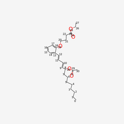 CCCCCCCCC(C=CC=Cc1ccccc1OCCCC(=O)OCC)OC(C)=O